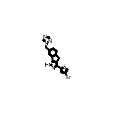 Brc1csc(-c2n[nH]c3c2Cc2ccc(Cn4cncn4)cc2-3)c1